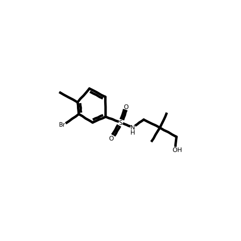 Cc1ccc(S(=O)(=O)NCC(C)(C)CO)cc1Br